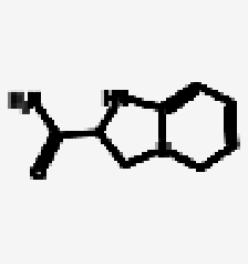 NC(=O)C1CN2CC=CC=C2N1